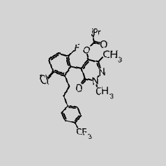 Cc1nn(C)c(=O)c(-c2c(F)ccc(Cl)c2CCc2ccc(C(F)(F)F)cc2)c1OC(=O)C(C)C